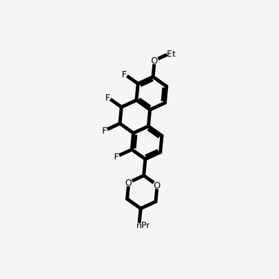 CCCC1COC(c2ccc3c(c2F)C(F)C(F)c2c-3ccc(OCC)c2F)OC1